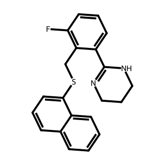 Fc1cccc(C2=NCCCN2)c1CSc1cccc2ccccc12